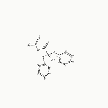 CC(C)C(=O)OC(=O)C(O)(Cc1ccccc1)Cc1ccccc1